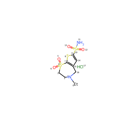 CCN1CCS(=O)(=O)c2sc(S(N)(=O)=O)cc2C1.Cl